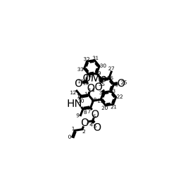 C=CCOC(=O)OC1=C(C)NC(C)=C(OC(=O)OC)C1c1cccc2c(=O)c(C)c(-c3ccccc3)oc12